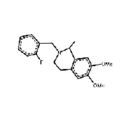 COc1cc2c(cc1OC)C(C)N(Cc1ccccc1F)CC2